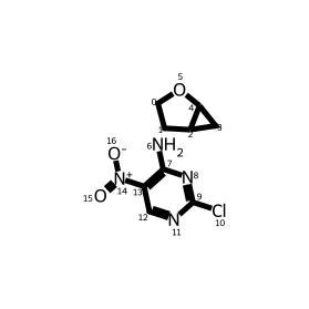 C1CC2CC2O1.Nc1nc(Cl)ncc1[N+](=O)[O-]